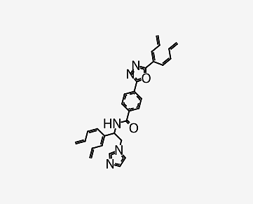 C=C/C=C\C(=C/C=C)c1nnc(-c2ccc(C(=O)NC(Cn3ccnc3)C(/C=C\C=C)=C/C=C)cc2)o1